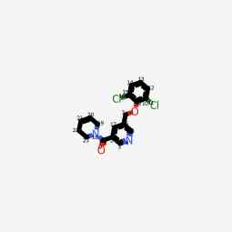 O=C(c1cncc(COc2c(Cl)cccc2Cl)c1)N1CC=CCC1